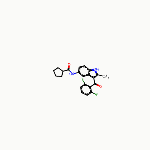 Cc1[nH]c2ccc(NC(=O)C3CCCC3)cc2c1C(=O)c1c(F)cccc1F